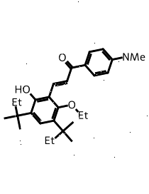 CCOc1c(C(C)(C)CC)cc(C(C)(C)CC)c(O)c1C=CC(=O)c1ccc(NC)cc1